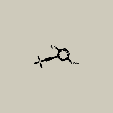 COc1cc(C#C[Si](C)(C)C)c(N)cn1